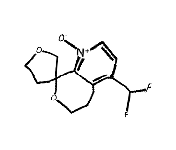 [O-][n+]1ccc(C(F)F)c2c1C1(CCOC1)OCC2